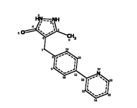 Cc1[nH][nH]c(=O)c1Cc1ccc(-c2ccccn2)cc1